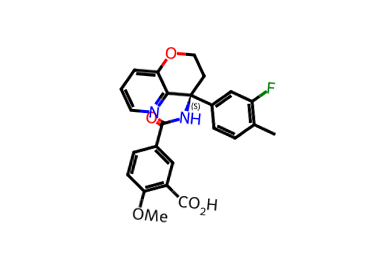 COc1ccc(C(=O)N[C@]2(c3ccc(C)c(F)c3)CCOc3cccnc32)cc1C(=O)O